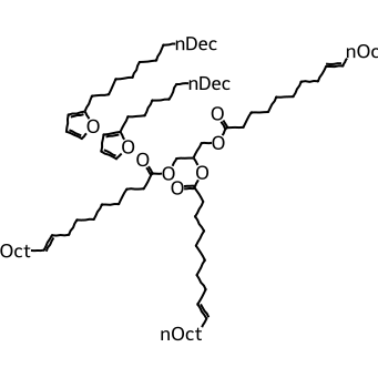 CCCCCCCC/C=C/CCCCCCCC(=O)OCC(COC(=O)CCCCCCC/C=C/CCCCCCCC)OC(=O)CCCCCCC/C=C/CCCCCCCC.CCCCCCCCCCCCCCCCCc1ccco1.CCCCCCCCCCCCCCCc1ccco1